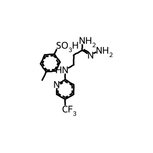 Cc1ccc(S(=O)(=O)O)cc1.NN=C(N)CCNc1ccc(C(F)(F)F)cn1